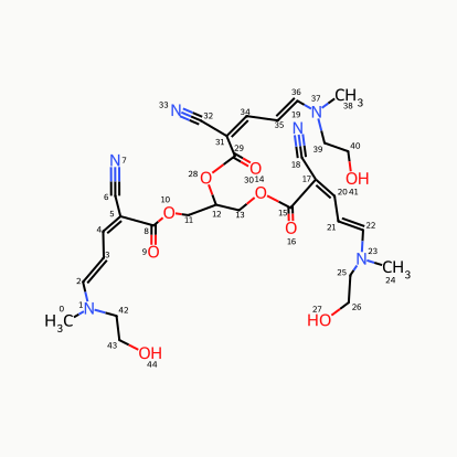 CN(/C=C/C=C(/C#N)C(=O)OCC(COC(=O)/C(C#N)=C\C=C\N(C)CCO)OC(=O)/C(C#N)=C\C=C\N(C)CCO)CCO